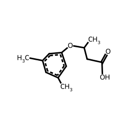 Cc1cc(C)cc(OC(C)CC(=O)O)c1